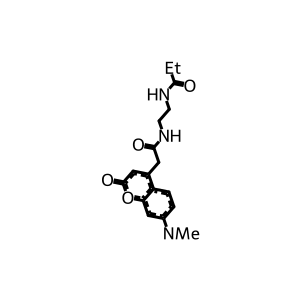 CCC(=O)NCCNC(=O)Cc1cc(=O)oc2cc(NC)ccc12